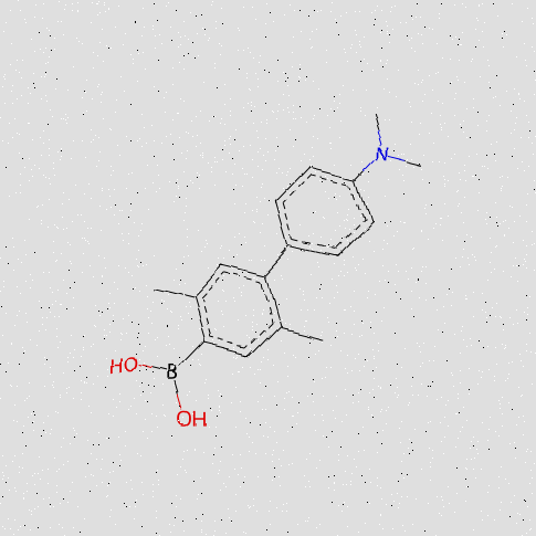 Cc1cc(-c2ccc(N(C)C)cc2)c(C)cc1B(O)O